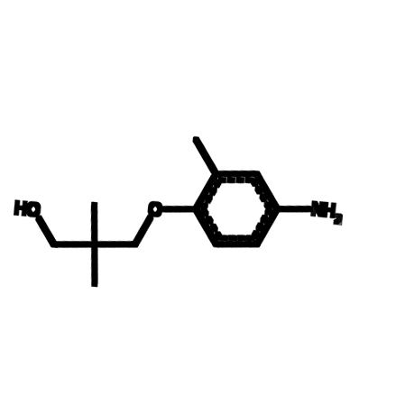 Cc1cc(N)ccc1OCC(C)(C)CO